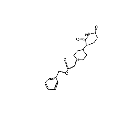 O=C1CCC(N2CCN(CC(=O)OCc3ccccc3)CC2)C(=O)N1